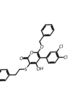 O=c1oc(OCc2ccccc2)c(-c2ccc(Cl)c(Cl)c2)c(O)c1SCCc1ccccc1